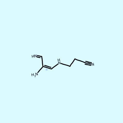 N#CCCN/C=C(/N)C=N